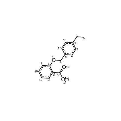 CCc1ccc(COc2ccccc2C(=O)O)cc1